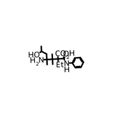 CCC(C(=O)O)(C(=O)Nc1ccccc1)C(C)(C)C(C)(N)CC(C)O